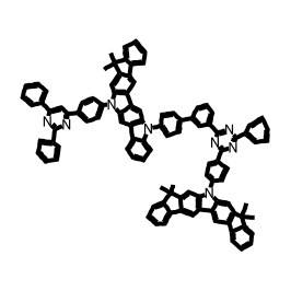 CC1(C)c2ccccc2-c2cc3c4cc5c(cc4n(-c4ccc(-c6nc(-c7ccccc7)nc(-c7cccc(-c8ccc(-n9c%10ccccc%10c%10cc%11c(cc%109)c9cc%10c(cc9n%11-c9ccc(-c%11cc(-c%12ccccc%12)nc(-c%12ccccc%12)n%11)cc9)C(C)(C)c9ccccc9-%10)cc8)c7)n6)cc4)c3cc21)C(C)(C)c1ccccc1-5